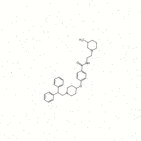 CC1CCCN(CCNC(=O)c2ccc(OC3CCN(CC(c4ccccc4)c4ccccc4)CC3)cc2)C1